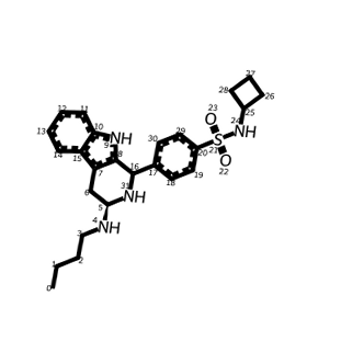 CCCCN[C@H]1Cc2c([nH]c3ccccc23)C(c2ccc(S(=O)(=O)NC3CCC3)cc2)N1